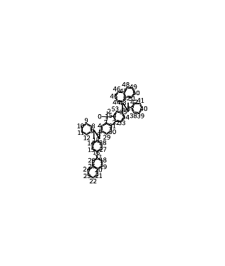 CC1(C)c2cc(N(c3ccccc3)c3ccc(-c4ccc5ccccc5c4)cc3)ccc2-c2ccc(N(c3ccccc3)c3cccc4ccccc34)cc21